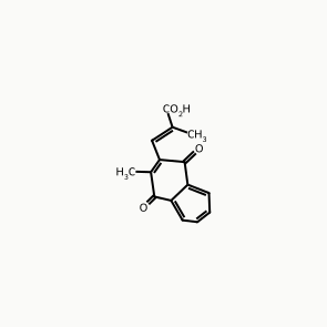 CC(=CC1=C(C)C(=O)c2ccccc2C1=O)C(=O)O